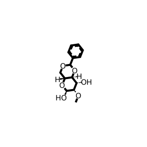 CO[C@H]1[C@@H](O)[C@@H]2OC(c3ccccc3)OC[C@H]2O[C@@H]1O